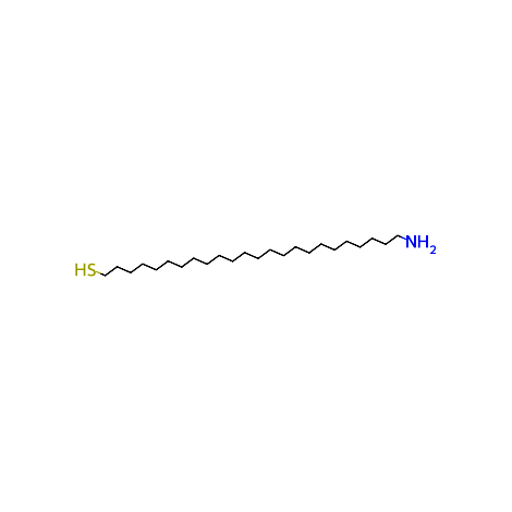 NCCCCCCCCCCCCCCCCCCCCCCCCS